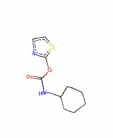 O=C(NC1CCCCC1)Oc1nccs1